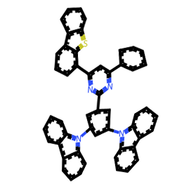 c1ccc(-c2cc(-c3cccc4c3sc3ccccc34)nc(-c3cc(-n4c5ccccc5c5ccccc54)cc(-n4c5ccccc5c5ccccc54)c3)n2)cc1